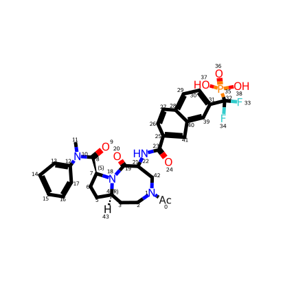 CC(=O)N1CC[C@H]2CC[C@@H](C(=O)N(C)c3ccccc3)N2C(=O)C(NC(=O)c2ccc3ccc(C(F)(F)P(=O)(O)O)cc3c2)C1